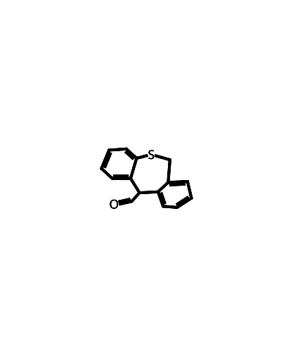 O=CC1c2ccccc2CSc2ccccc21